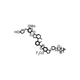 COc1nc(O[C@H]2CCC3=C(c4cccc(-c5nc6cc7c(c(OC(F)(F)F)c6o5)CC[C@H]7N5CC[C@@H](C(=O)NS(=O)(=O)C6(C)CC6)C5)c4C)C(C)CC=C32)c(Cl)cc1CN1CC[C@@H](O)C1